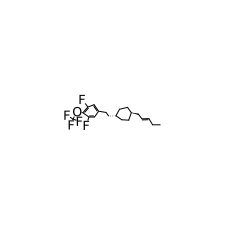 CC/C=C/C[C@H]1CC[C@H](CCc2cc(F)c(OC(F)(F)F)c(F)c2)CC1